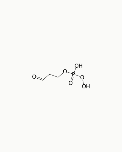 O=CCCOP(=O)(O)OO